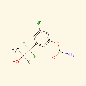 CC(C)(O)C(F)(F)c1cc(Br)cc(OC(N)=O)c1